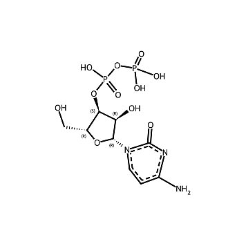 Nc1ccn([C@@H]2O[C@H](CO)[C@@H](OP(=O)(O)OP(=O)(O)O)[C@H]2O)c(=O)n1